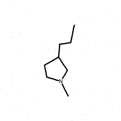 [CH2]CCC1CCN(C)C1